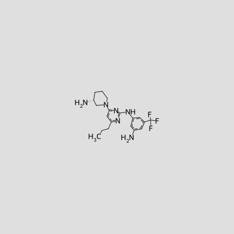 CCCc1cc(N2CCC[C@@H](N)C2)nc(Nc2cc(N)cc(C(F)(F)F)c2)n1